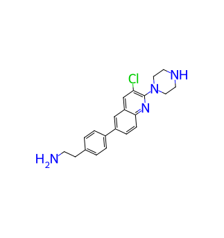 NCCc1ccc(-c2ccc3nc(N4CCNCC4)c(Cl)cc3c2)cc1